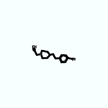 C#CCN1CCC(CCc2ccc(C(C)C)cc2)CC1